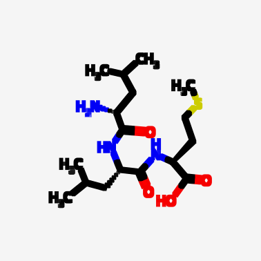 CSCC[C@H](NC(=O)[C@H](CC(C)C)NC(=O)[C@H](N)CC(C)C)C(=O)O